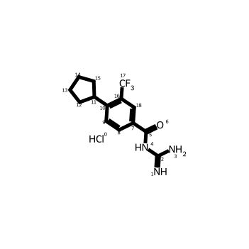 Cl.N=C(N)NC(=O)c1ccc(C2CCCC2)c(C(F)(F)F)c1